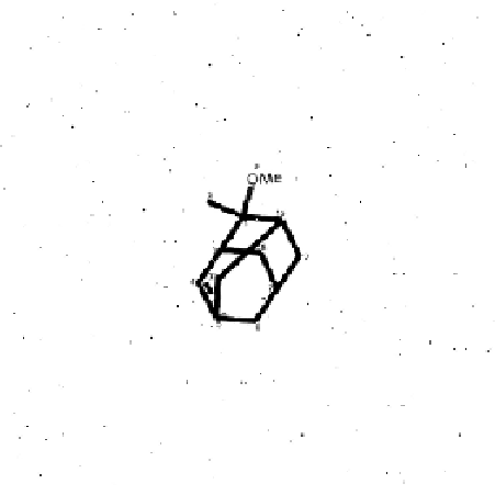 COC1(C)C2C=C3CC(C2)CC1C3